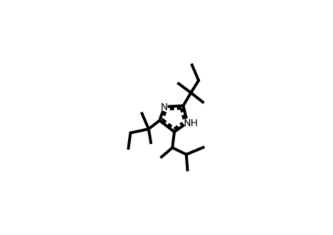 CCC(C)(C)c1nc(C(C)(C)CC)c(C(C)C(C)C)[nH]1